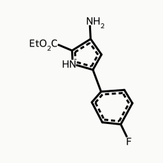 CCOC(=O)c1[nH]c(-c2ccc(F)cc2)cc1N